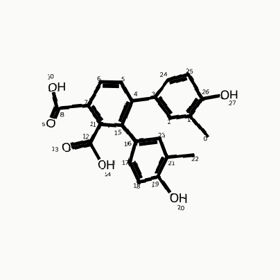 Cc1cc(-c2ccc(C(=O)O)c(C(=O)O)c2-c2ccc(O)c(C)c2)ccc1O